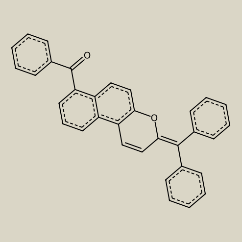 O=C(c1ccccc1)c1cccc2c3c(ccc12)OC(=C(c1ccccc1)c1ccccc1)C=C3